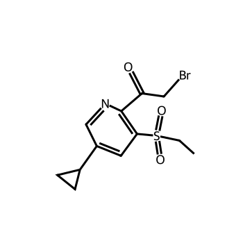 CCS(=O)(=O)c1cc(C2CC2)cnc1C(=O)CBr